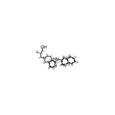 C[C@@H](CO)CN1CCc2c(ccnc2Nc2cnc3ccccc3c2)C1